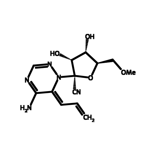 C=C/C=C1/C(N)=NC=NN1[C@]1(C#N)O[C@H](COC)[C@@H](O)[C@H]1O